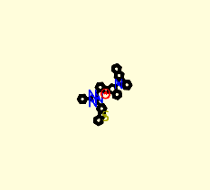 c1ccc(-c2nc(-c3ccc4sc5ccccc5c4c3)nc(-c3cccc4c5c(oc34)-c3ccccc3C(n3c4ccccc4c4cc6ccccc6cc43)C5)n2)cc1